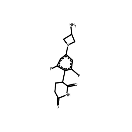 NC1CN(c2cc(F)c(C3CCC(=O)NC3=O)c(F)c2)C1